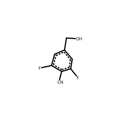 N#Cc1c(F)cc(CO)cc1F